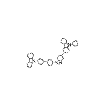 c1ccc(-n2c3ccccc3c3cc(-c4ccc(Nc5ccc(-c6ccc(-n7c8ccccc8c8ccccc87)cc6)cc5)cc4)ccc32)cc1